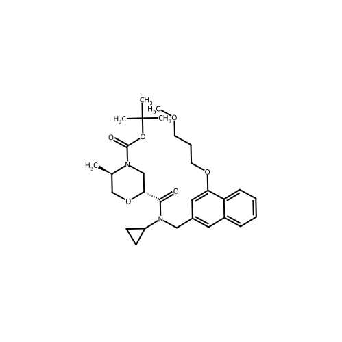 COCCCOc1cc(CN(C(=O)[C@H]2CN(C(=O)OC(C)(C)C)[C@H](C)CO2)C2CC2)cc2ccccc12